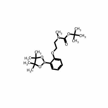 CN(CCOc1ccccc1B1OC(C)(C)C(C)(C)O1)C(=O)OC(C)(C)C